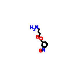 NCCCC(=O)OCc1cccc(N=O)c1